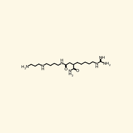 N=C(N)NCCCCCC(CC(=O)NCCCCNCCCN)C(N)=O